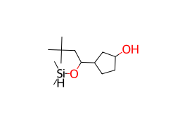 C[SiH](C)OC(CC(C)(C)C)C1CCC(O)C1